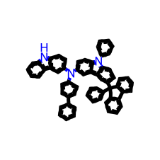 c1ccc(-c2ccc(N(c3ccc4[nH]c5ccccc5c4c3)c3ccc4c(c3)c3cc(C5(c6ccccc6)c6ccccc6-c6ccccc65)ccc3n4-c3ccccc3)cc2)cc1